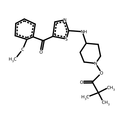 CCc1ccccc1C(=O)c1cnc(NC2CCN(OC(=O)C(C)(C)C)CC2)s1